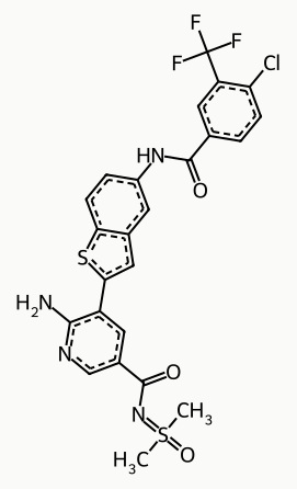 CS(C)(=O)=NC(=O)c1cnc(N)c(-c2cc3cc(NC(=O)c4ccc(Cl)c(C(F)(F)F)c4)ccc3s2)c1